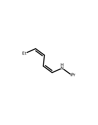 CC/C=C\C=C/NC(C)C